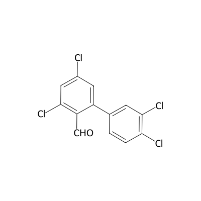 O=Cc1c(Cl)cc(Cl)cc1-c1ccc(Cl)c(Cl)c1